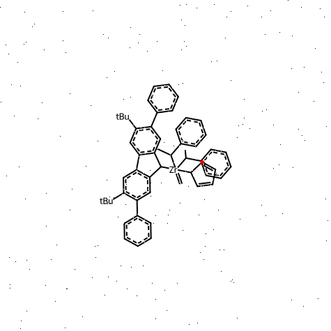 [CH2]=[Zr]([CH]1C=CC=C1)([CH](C)c1ccccc1)([CH](C)c1ccccc1)[CH]1c2cc(-c3ccccc3)c(C(C)(C)C)cc2-c2cc(C(C)(C)C)c(-c3ccccc3)cc21